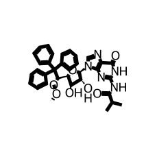 COOC([C@H]1O[C@@H](n2cnc3c(=O)[nH]c(NC(=O)C(C)C)nc32)[C@H](O)[C@@H]1O)C(c1ccccc1)(c1ccccc1)c1ccccc1